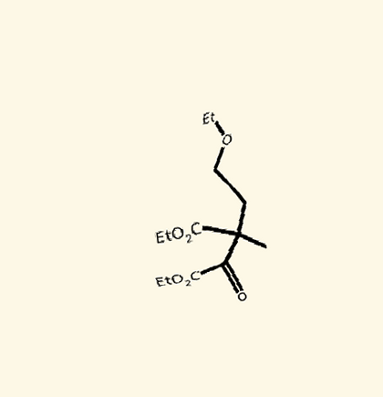 CCOCCC(C)(C(=O)OCC)C(=O)C(=O)OCC